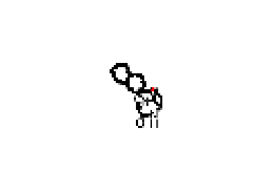 O=C1NC2CC=CCC1N(c1ccc3ccccc3c1)C2=O